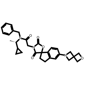 C[C@@H](C1CC1)N(Cc1ccccc1)C(=O)CN1C(=O)OC2(CCc3cc(N4CC5(COC5)C4)ccc32)C1=O